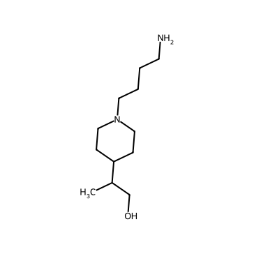 CC(CO)C1CCN(CCCCN)CC1